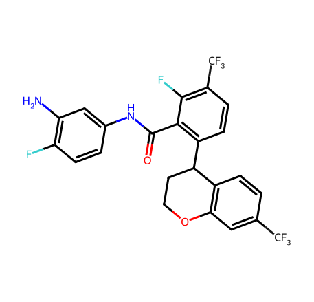 Nc1cc(NC(=O)c2c(C3CCOc4cc(C(F)(F)F)ccc43)ccc(C(F)(F)F)c2F)ccc1F